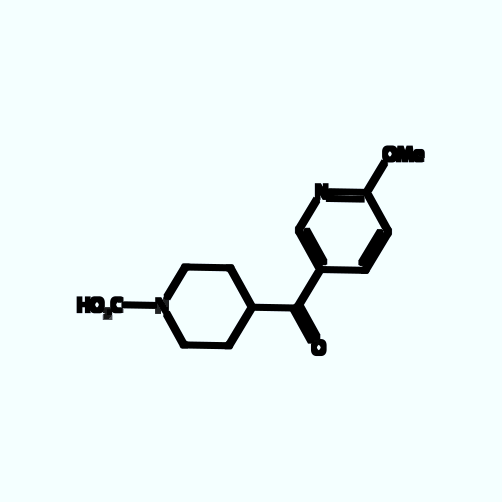 COc1ccc(C(=O)C2CCN(C(=O)O)CC2)cn1